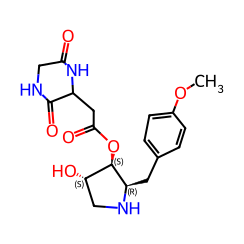 COc1ccc(C[C@H]2NC[C@H](O)[C@H]2OC(=O)CC2NC(=O)CNC2=O)cc1